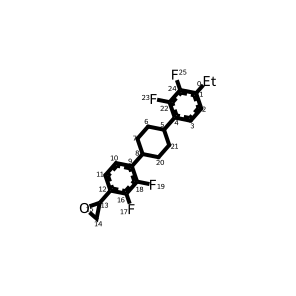 CCc1ccc(C2CCC(c3ccc(C4CO4)c(F)c3F)CC2)c(F)c1F